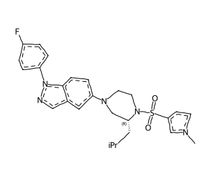 CC(C)C[C@@H]1CN(c2ccc3c(cnn3-c3ccc(F)cc3)c2)CCN1S(=O)(=O)c1ccn(C)c1